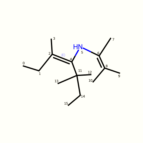 CC/C(C)=C(/NC(C)=C(C)C)C(C)(C)CC